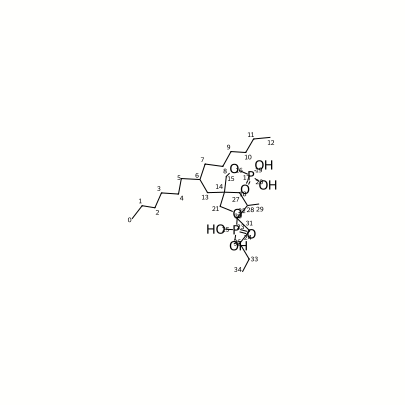 CCCCCCC(CCCCCC)CC(COP(=O)(O)O)(COP(=O)(O)O)CC(C)CCCCC